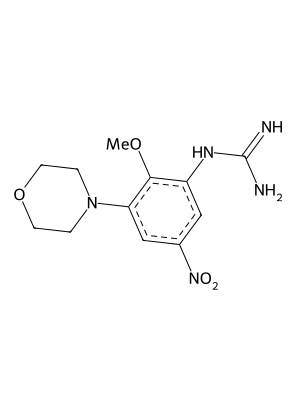 COc1c(NC(=N)N)cc([N+](=O)[O-])cc1N1CCOCC1